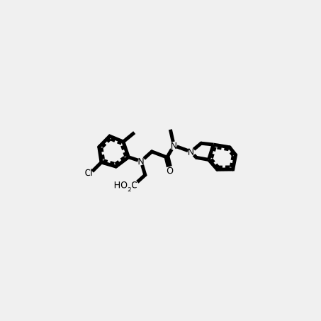 Cc1ccc(Cl)cc1N(CC(=O)O)CC(=O)N(C)N1Cc2ccccc2C1